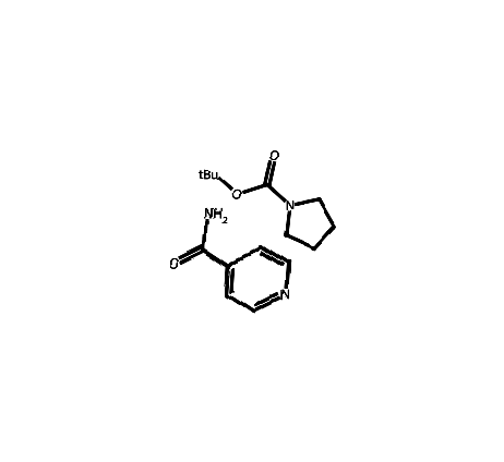 CC(C)(C)OC(=O)N1CCCC1.NC(=O)c1ccncc1